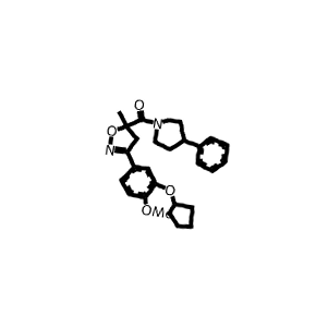 COc1ccc(C2=NOC(C)(C(=O)N3CCC(c4ccccc4)CC3)C2)cc1OC1CCCC1